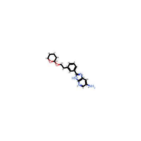 Nc1cnc2[nH]c(-c3cccc(CCOC4CCCCO4)c3)nc2c1